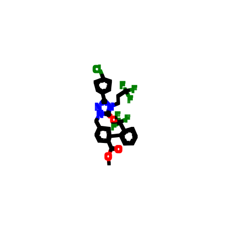 COC(=O)c1ccc(Cn2nc(-c3ccc(Cl)cc3)n(CCC(F)(F)F)c2=O)cc1-c1ccccc1C(F)(F)F